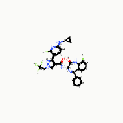 O=C(N[C@H]1N=C(c2ccccc2)c2cccc(F)c2NC1=O)c1cn(CC(F)(F)F)nc1-c1ccc(NC2CC2)nc1F